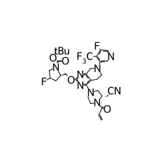 C=CC(=O)N1CCN(c2nc(OC[C@H]3CC(F)CN3C(=O)OC(C)(C)C)nc3c2CCN(c2cncc(F)c2C(F)(F)F)C3)C[C@@H]1CC#N